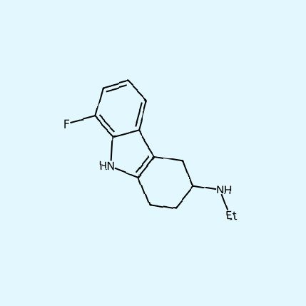 CCNC1CCc2[nH]c3c(F)cccc3c2C1